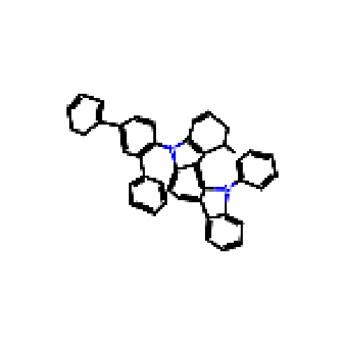 CC1CC=Cc2c1c1c(ccc3c4ccccc4n(-c4ccccc4)c31)n2-c1ccc(C2=CC=CCC2)cc1-c1ccccc1